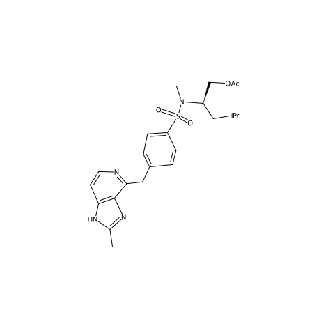 CC(=O)OC[C@@H](CC(C)C)N(C)S(=O)(=O)c1ccc(Cc2nccc3[nH]c(C)nc23)cc1